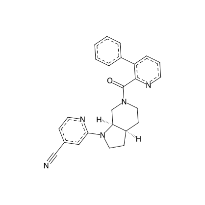 N#Cc1ccnc(N2CC[C@@H]3CCN(C(=O)c4ncccc4-c4ccccc4)C[C@@H]32)c1